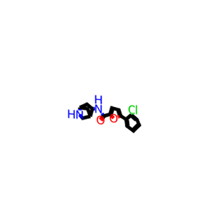 O=C(NC1CC2CC1CN2)c1ccc(-c2ccccc2Cl)o1